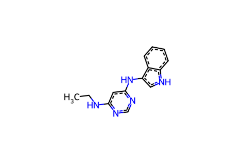 CCNc1cc(Nc2c[nH]c3ccccc23)ncn1